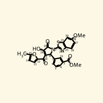 COC(=O)c1cccc(C2C(C(=O)c3ccc(C)o3)=C(O)C(=O)N2c2nc3ccc(OC)cc3s2)c1